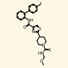 COCNC(=S)N1CCC(c2nc(C(=O)Nc3ccccc3-c3ccc(F)cc3)cs2)CC1